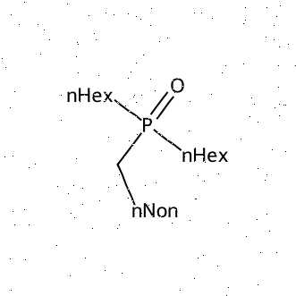 CCCCCCCCCCP(=O)(CCCCCC)CCCCCC